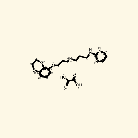 O=C(O)C(=O)O.c1cnc(NCCCNCCCOc2cccc3c2OCCO3)nc1